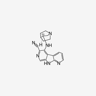 N#Cc1ncc2[nH]c3ncccc3c2c1N[C@@H]1CN2CCC1CC2